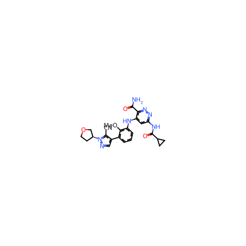 COc1c(Nc2cc(NC(=O)C3CC3)nnc2C(N)=O)cccc1-c1cnn([C@H]2CCOC2)c1C#N